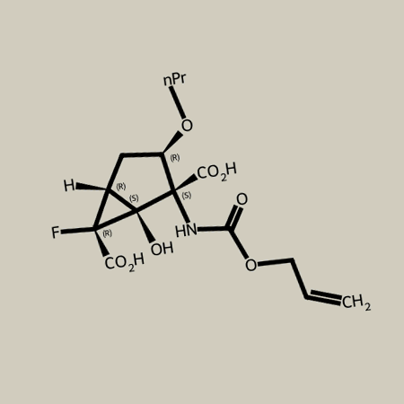 C=CCOC(=O)N[C@@]1(C(=O)O)[C@H](OCCC)C[C@@H]2[C@@]1(O)[C@@]2(F)C(=O)O